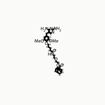 COc1cc(Cc2cnc(N)nc2N)cc(OC)c1OCCCCC(=O)NCCOCCOC(=O)C12CC3CC(CC(C3)C1)C2